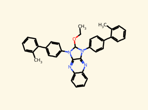 CCOC1N(c2ccc(-c3ccccc3C)cc2)c2nc3ccccc3nc2N1c1ccc(-c2ccccc2C)cc1